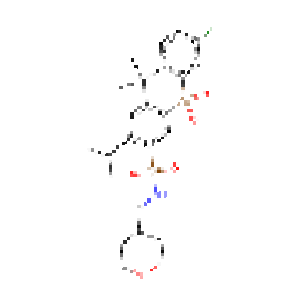 CC(C)c1cc2c(cc1S(=O)(=O)NCC1CCOCC1)S(=O)(=O)c1cc(F)ccc1C2(C)C